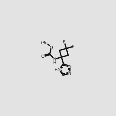 CC(C)(C)OC(=O)NC1(c2nnc[nH]2)CC(F)(F)C1